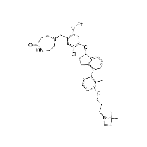 CCOc1cc(O[C@H]2CCc3c(-c4cccc(OCCCN5CCC5(C)C)c4C)cccc32)c(Cl)cc1CN1CCNC(=O)CC1